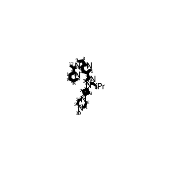 CC(C)c1nc(-c2cnc3ccn(C(C)c4ccccn4)c3c2)cn1C12CC(N3CCN(I)CC3)(C1)C2